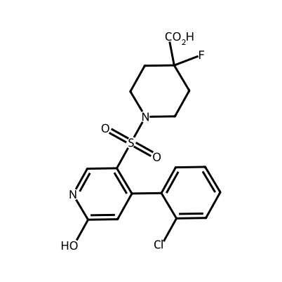 O=C(O)C1(F)CCN(S(=O)(=O)c2cnc(O)cc2-c2ccccc2Cl)CC1